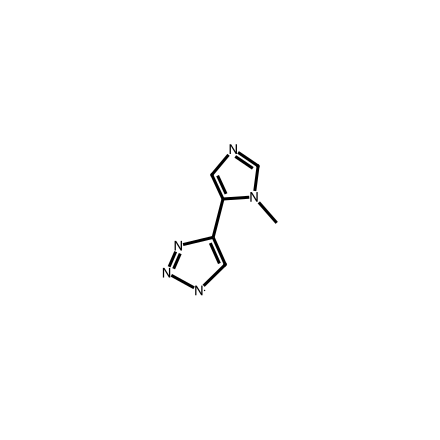 Cn1cncc1C1=C[N]N=N1